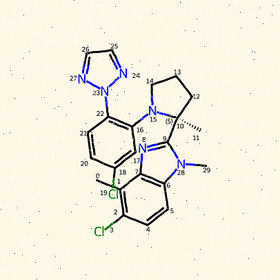 Cc1c(Cl)ccc2c1nc([C@]1(C)CCCN1c1cc(Cl)c[c]c1-n1nccn1)n2C